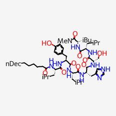 CCCCCCCCCCCCCCCC(=O)N[C@@H](CC(C)C)C(=O)N[C@@H](Cc1ccc(O)cc1)C(=O)N[C@@H](CC(C)C)C(=O)N[C@@H](Cc1c[nH]cn1)C(=O)N[C@@H](CO)C(=O)N[C@@H](CC(C)C)C(=O)N[C@H](C(=O)NC)[C@@H](C)CC